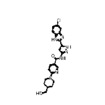 O=C(Nc1cc(-c2nc3cc(Cl)ccc3[nH]2)[nH]n1)c1ccc(N2CCC(CO)CC2)nc1